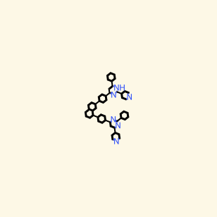 C1=C(c2ccccc2)NC(c2ccncc2)N=C1c1ccc(-c2ccc3cccc(-c4ccc(-c5cc(-c6ccncc6)nc(-c6ccccc6)n5)cc4)c3c2)cc1